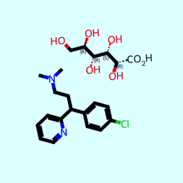 CN(C)CCC(c1ccc(Cl)cc1)c1ccccn1.O=C(O)[C@H](O)[C@@H](O)[C@H](O)[C@H](O)CO